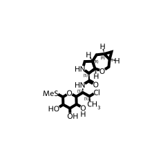 CSC1OC([C@H](NC(=O)[C@H]2NC[C@H]3C[C@H]4C[C@H]4CO[C@H]32)[C@H](C)Cl)C(O)C(O)C1O